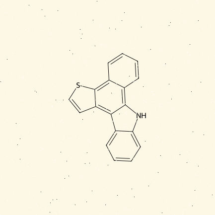 c1ccc2c(c1)[nH]c1c3ccccc3c3sccc3c21